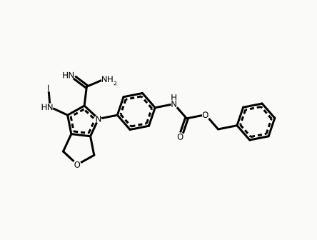 N=C(N)c1c(NI)c2c(n1-c1ccc(NC(=O)OCc3ccccc3)cc1)COC2